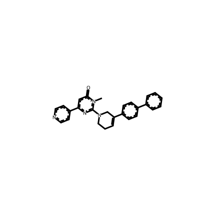 Cn1c(N2CCC=C(c3ccc(-c4ccccc4)cc3)C2)nc(-c2ccncc2)cc1=O